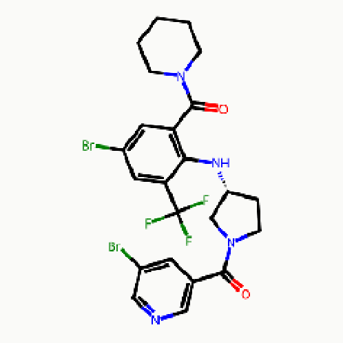 O=C(c1cncc(Br)c1)N1CC[C@@H](Nc2c(C(=O)N3CCCCC3)cc(Br)cc2C(F)(F)F)C1